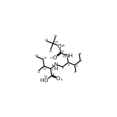 CCC(C)C(CNC(C(=O)O)C(C)CC)NC(=O)OC(C)(C)C